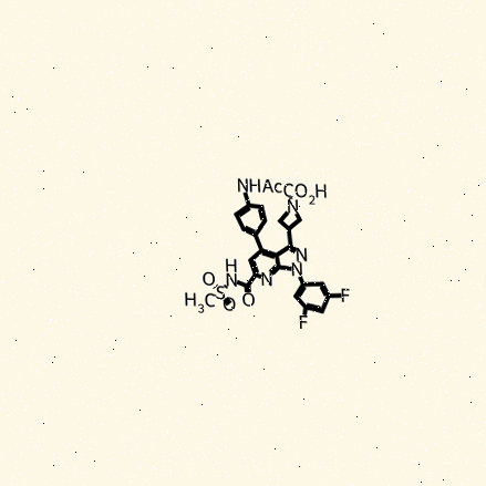 CC(=O)Nc1ccc(-c2cc(C(=O)NS(C)(=O)=O)nc3c2c(C2CN(C(=O)O)C2)nn3-c2cc(F)cc(F)c2)cc1